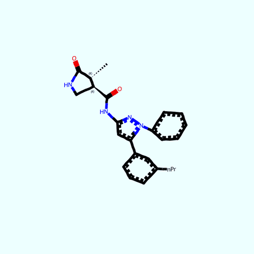 CCCc1cccc(-c2cc(NC(=O)[C@H]3CNC(=O)[C@@H]3C)nn2-c2ccccc2)c1